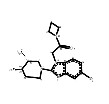 N[C@@H]1CN(c2nc3cc(Br)ccc3n2CC(=O)N2CCC2)CC[C@H]1F